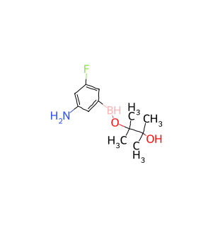 CC(C)(O)C(C)(C)OBc1cc(N)cc(F)c1